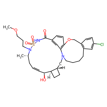 COCCCN1[C@@H](C)C/C=C\[C@H](O)[C@@H]2CC[C@H]2CN2CCCCc3cc(Cl)ccc3COc3ccc(cc32)C(=O)NS1(=O)=O